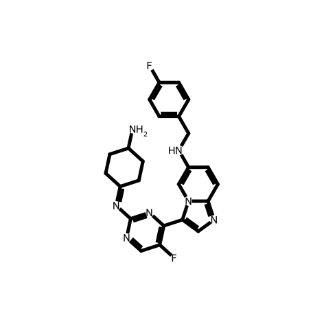 NC1CCC(=Nc2ncc(F)c(-c3cnc4ccc(NCc5ccc(F)cc5)cn34)n2)CC1